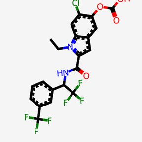 CCn1c(C(=O)NC(c2cccc(C(F)(F)F)c2)C(F)(F)F)cc2cc(OC(=O)O)c(Cl)cc21